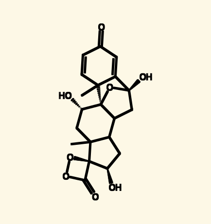 CC12C[C@H](O)[C@@]34O[C@@](O)(CC3C1C[C@@H](O)[C@@]21OOC1=O)C1=CC(=O)C=CC14C